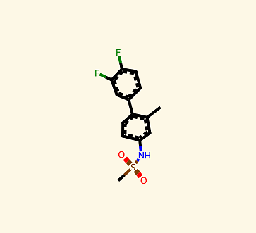 Cc1cc(NS(C)(=O)=O)ccc1-c1ccc(F)c(F)c1